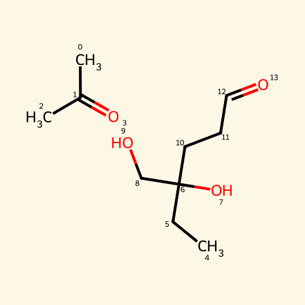 CC(C)=O.CCC(O)(CO)CCC=O